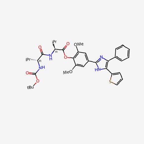 COc1cc(-c2nc(-c3ccccc3)c(-c3cccs3)[nH]2)cc(OC)c1OC(=O)[C@@H](NC(=O)[C@H](NC(=O)OC(C)(C)C)C(C)C)C(C)C